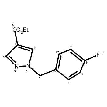 CCOC(=O)c1cnn(Cc2ccc(F)cc2)c1